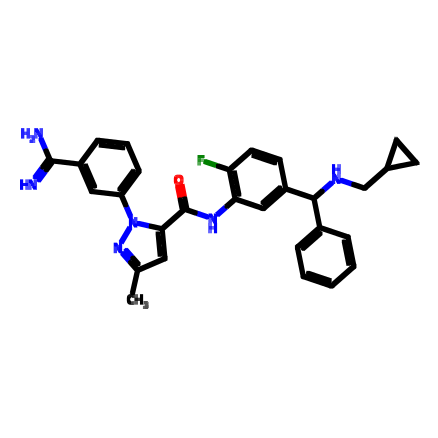 Cc1cc(C(=O)Nc2cc(C(NCC3CC3)c3ccccc3)ccc2F)n(-c2cccc(C(=N)N)c2)n1